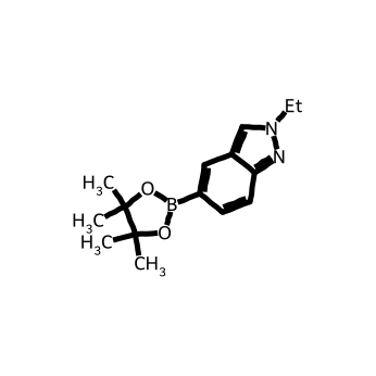 CCn1cc2cc(B3OC(C)(C)C(C)(C)O3)ccc2n1